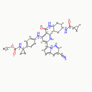 COC(=O)NC1(c2ccc(Nc3cc(-c4ccc5cc(C#N)cnn45)ncc3C(=O)N[C@H]3CC[C@H](NC(=O)C4CC4)CC3)cc2)CC1